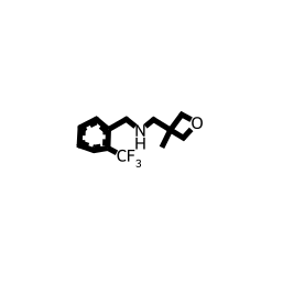 CC1(CNCc2ccccc2C(F)(F)F)COC1